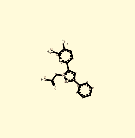 Cc1ccc(-c2cc(-c3ccccc3)nn2CC(=O)O)nc1C